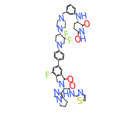 O=C1CCC(Nc2cccc(CN3CCN(C4CCN(c5ccc(-c6cc(F)c7c(c6)C(=O)N(C(C(=O)Nc6nccs6)c6ncn8c6CCC8)C7)cc5)CC4(F)F)CC3)c2)C(=O)N1